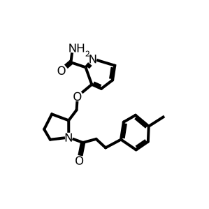 Cc1ccc(CCC(=O)N2CCCC2COc2cccnc2C(N)=O)cc1